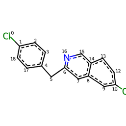 Clc1ccc(Cc2cc3cc(Cl)ccc3cn2)cc1